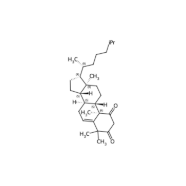 CC(C)CCC[C@@H](C)[C@H]1CC[C@H]2[C@@H]3CC=C4C(C)(C)C(=O)CC(=O)[C@]4(C)[C@H]3CC[C@]12C